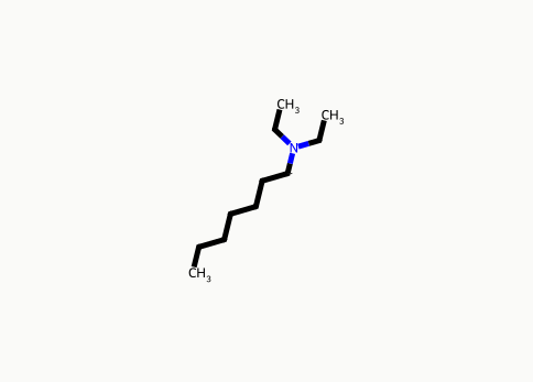 CCCCCC[CH]N(CC)CC